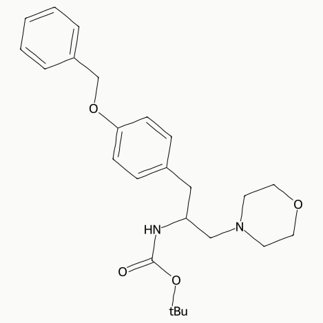 CC(C)(C)OC(=O)NC(Cc1ccc(OCc2ccccc2)cc1)CN1CCOCC1